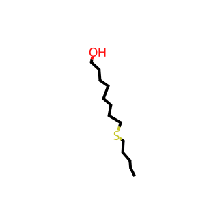 CCCCCSCCCCCCCCO